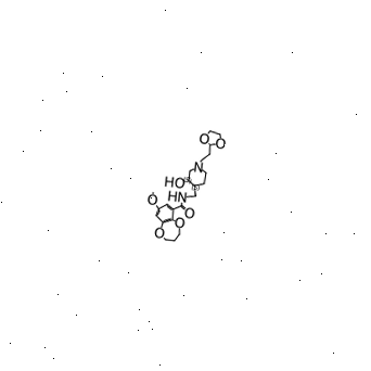 COc1cc2c(c(C(=O)NC[C@@H]3CCN(CCC4OCCO4)C[C@H]3O)c1)OCCCO2